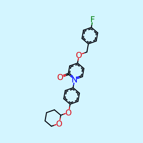 O=c1cc(OCc2ccc(F)cc2)ccn1-c1ccc(OC2CCCCO2)cc1